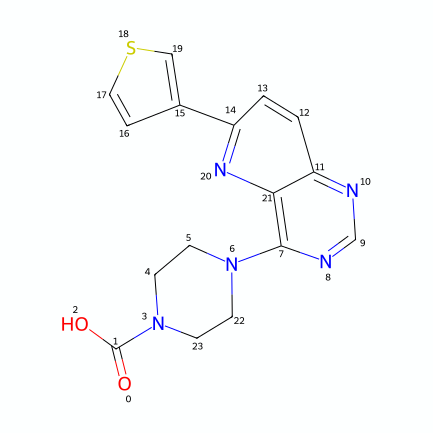 O=C(O)N1CCN(c2ncnc3ccc(-c4ccsc4)nc23)CC1